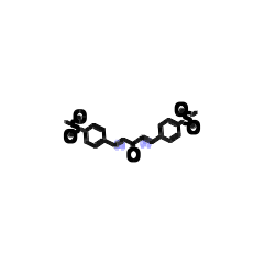 CS(=O)(=O)c1ccc(/C=C/C(=O)/C=C/c2ccc(S(C)(=O)=O)cc2)cc1